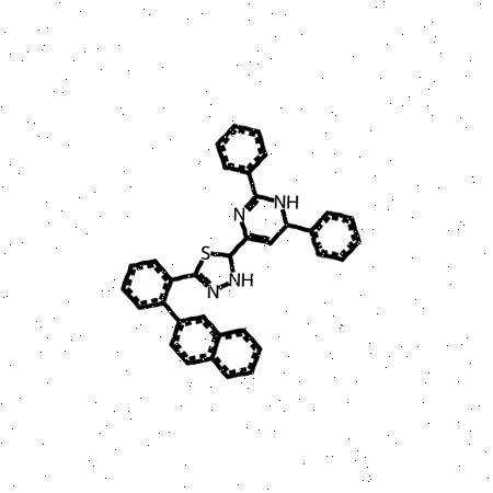 C1=C(C2NN=C(c3ccccc3-c3ccc4ccccc4c3)S2)N=C(c2ccccc2)NC1c1ccccc1